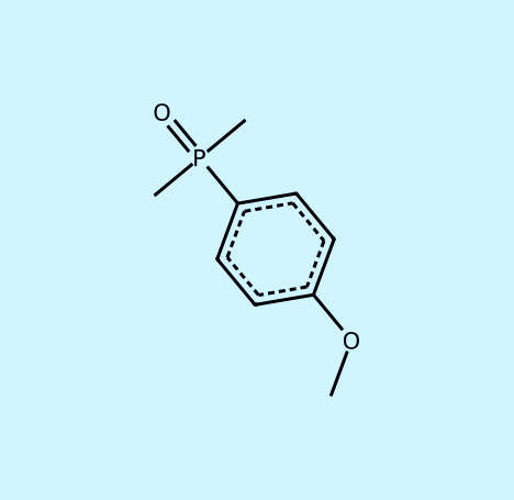 COc1ccc(P(C)(C)=O)cc1